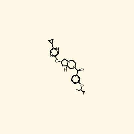 O=C(c1cccc(OC(F)F)c1)N1CCN2C[C@H](Oc3cnc(C4CC4)cn3)C[C@H]2C1